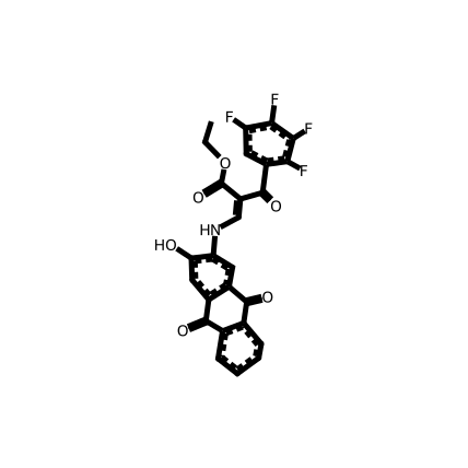 CCOC(=O)/C(=C\Nc1cc2c(cc1O)C(=O)c1ccccc1C2=O)C(=O)c1cc(F)c(F)c(F)c1F